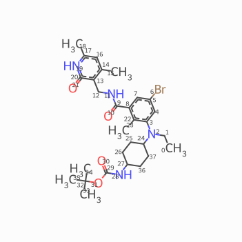 CCN(c1cc(Br)cc(C(=O)NCc2c(C)cc(C)[nH]c2=O)c1C)C1CCC(NC(=O)OC(C)(C)C)CC1